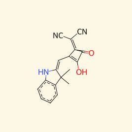 CC1(C)C(=CC2=C(O)C(=O)C2=C(C#N)C#N)Nc2ccccc21